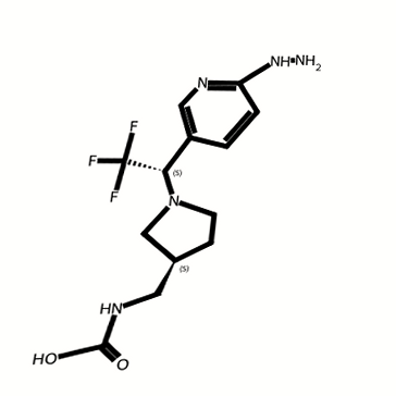 NNc1ccc([C@H](N2CC[C@@H](CNC(=O)O)C2)C(F)(F)F)cn1